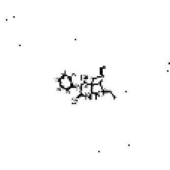 C=CCC1(CC=CC)C(=O)NC(=O)N(c2ccccc2)C1=O